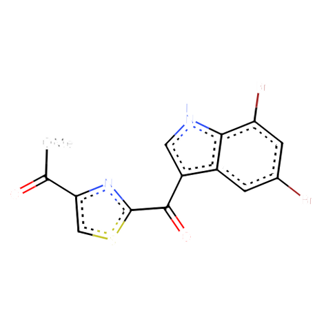 COC(=O)c1csc(C(=O)c2c[nH]c3c(Br)cc(Br)cc23)n1